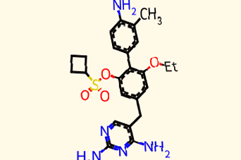 CCOc1cc(Cc2cnc(N)nc2N)cc(OS(=O)(=O)C2CCC2)c1-c1ccc(N)c(C)c1